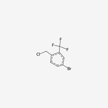 FC(F)(F)c1cc(Br)ccc1CCl